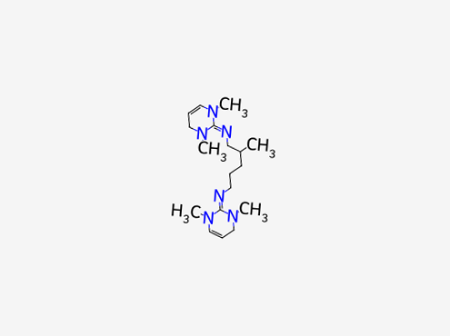 CC(CCCN=C1N(C)C=CCN1C)CN=C1N(C)C=CCN1C